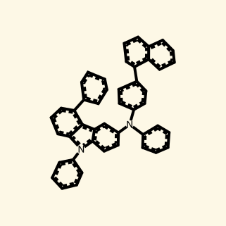 c1ccc(-c2cccc3c2c2cc(N(c4ccccc4)c4ccc(-c5cccc6ccccc56)cc4)ccc2n3-c2ccccc2)cc1